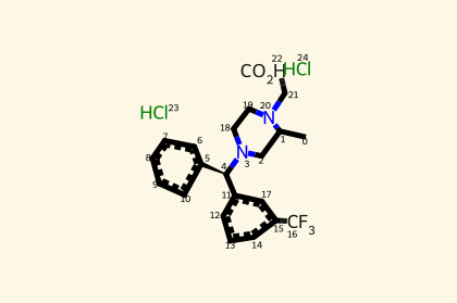 CC1CN([C@H](c2ccccc2)c2cccc(C(F)(F)F)c2)CCN1CC(=O)O.Cl.Cl